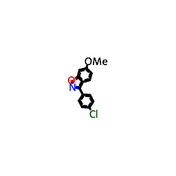 COc1ccc2c(-c3ccc(Cl)cc3)noc2c1